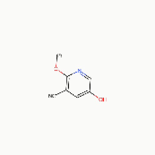 CC(C)Oc1ncc(O)cc1C#N